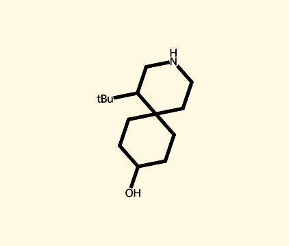 CC(C)(C)C1CNCCC12CCC(O)CC2